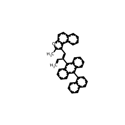 C=C/C(=C\c1c(C)oc2ccc3ccccc3c12)c1c2ccccc2c(-c2cccc3ccccc23)c2ccccc12